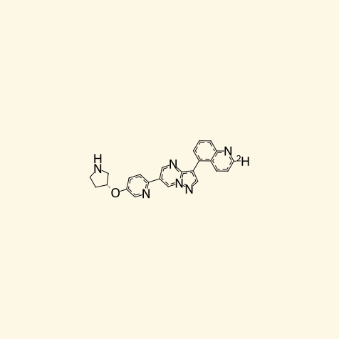 [2H]c1ccc2c(-c3cnn4cc(-c5ccc(O[C@@H]6CCNC6)cn5)cnc34)cccc2n1